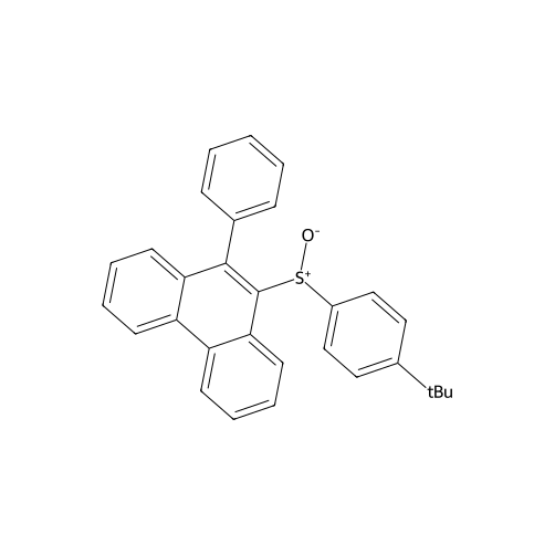 CC(C)(C)c1ccc([S+]([O-])c2c(-c3ccccc3)c3ccccc3c3ccccc23)cc1